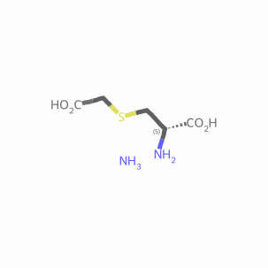 N.N[C@H](CSCC(=O)O)C(=O)O